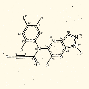 CC#CC(=O)N(c1cc(C)c(I)cc1C)c1nc2cnn(C)c2cc1C